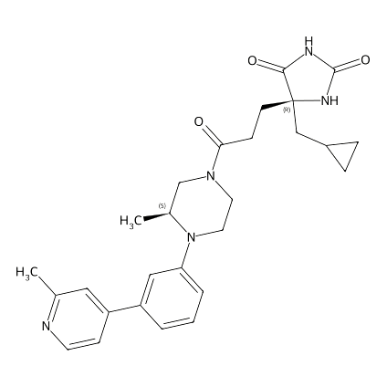 Cc1cc(-c2cccc(N3CCN(C(=O)CC[C@]4(CC5CC5)NC(=O)NC4=O)C[C@@H]3C)c2)ccn1